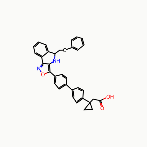 O=C(O)CC1(c2ccc(-c3ccc(-c4onc5c4NC(CCc4ccccc4)c4ccccc4-5)cc3)cc2)CC1